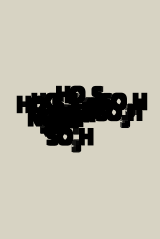 Cc1cc(N=Nc2cc(OCCCS(=O)(=O)O)c(N=Nc3c(C)c(C#N)c4nc5c(C)cc(S(=O)(=O)O)cc5n4c3O)cc2C)c(SCCCS(=O)(=O)O)cc1N=Nc1nc2c(S(=O)(=O)O)cc3c(S(=O)(=O)O)cc(S(=O)(=O)O)cc3c2s1